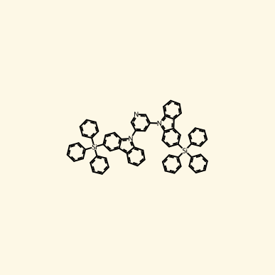 c1ccc([Si](c2ccccc2)(c2ccccc2)c2ccc3c(c2)c2ccccc2n3-c2cncc(-n3c4ccccc4c4cc([Si](c5ccccc5)(c5ccccc5)c5ccccc5)ccc43)c2)cc1